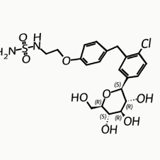 NS(=O)(=O)NCCOc1ccc(Cc2cc([C@@H]3O[C@H](CO)[C@@H](O)[C@H](O)[C@H]3O)ccc2Cl)cc1